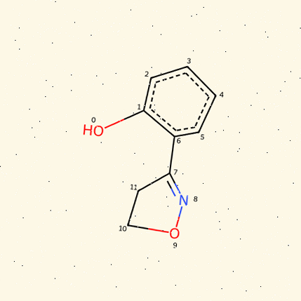 Oc1ccccc1C1=NOCC1